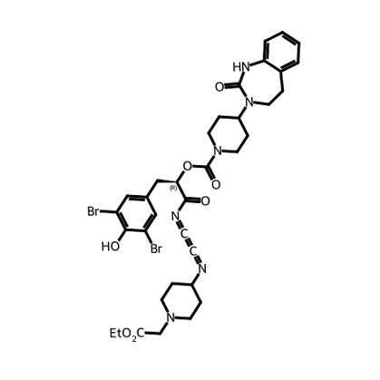 CCOC(=O)CN1CCC(N=C=C=NC(=O)[C@@H](Cc2cc(Br)c(O)c(Br)c2)OC(=O)N2CCC(N3CCc4ccccc4NC3=O)CC2)CC1